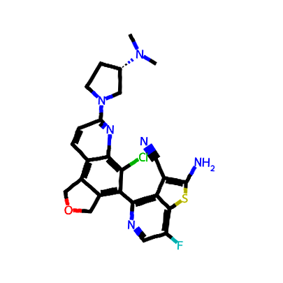 CN(C)[C@H]1CCN(c2ccc3c4c(c(-c5ncc(F)c6sc(N)c(C#N)c56)c(Cl)c3n2)COC4)C1